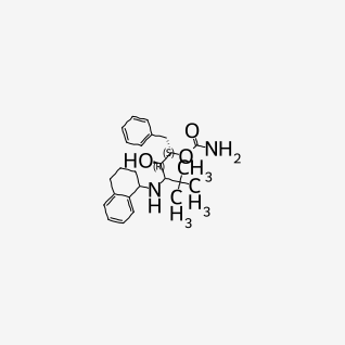 CC(C)(C)C(NC1CCCc2ccccc21)[C@@H](O)[C@H](Cc1ccccc1)OC(N)=O